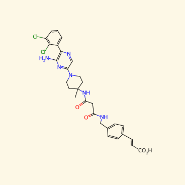 CC1(NC(=O)CC(=O)NCc2ccc(/C=C/C(=O)O)cc2)CCN(c2cnc(-c3cccc(Cl)c3Cl)c(N)n2)CC1